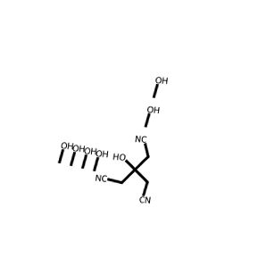 CO.CO.CO.CO.CO.CO.N#CCC(O)(CC#N)CC#N